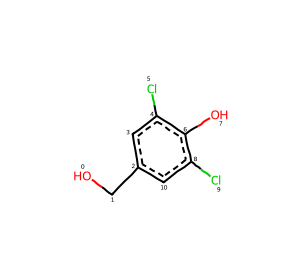 OCc1cc(Cl)c(O)c(Cl)c1